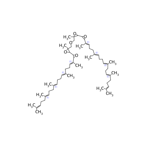 CC(C)=CCC/C(C)=C/CC/C(C)=C/CC/C=C(\C)CC/C=C(\C)C1OC1C1OC1(C)COCC1(C)OC1C1OC1/C(C)=C/CC/C(C)=C/CC/C=C(\C)CC/C=C(\C)CCC=C(C)C